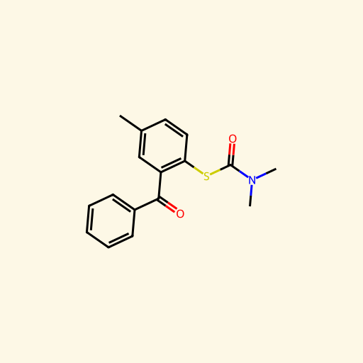 Cc1ccc(SC(=O)N(C)C)c(C(=O)c2ccccc2)c1